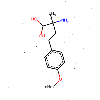 CCCCCCOc1ccc(CCC(C)(N)C(O)O)cc1